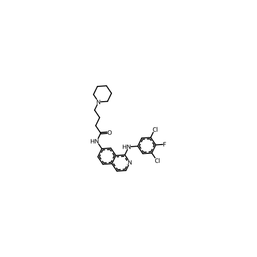 O=C(CCCN1CCCCC1)Nc1ccc2ccnc(Nc3cc(Cl)c(F)c(Cl)c3)c2c1